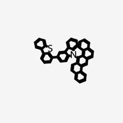 c1ccc2c(c1)ccc1c(-n3c4ccccc4c4cc(-c5cccc6c5sc5ccccc56)ccc43)c3c(ccc4ccccc43)cc12